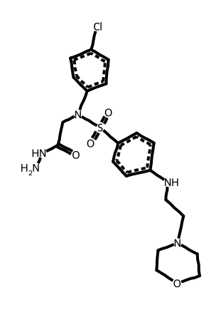 NNC(=O)CN(c1ccc(Cl)cc1)S(=O)(=O)c1ccc(NCCN2CCOCC2)cc1